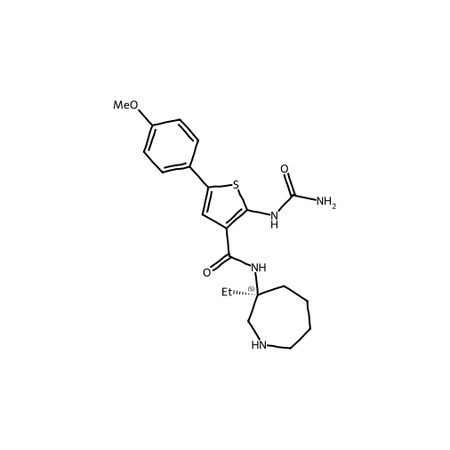 CC[C@]1(NC(=O)c2cc(-c3ccc(OC)cc3)sc2NC(N)=O)CCCCNC1